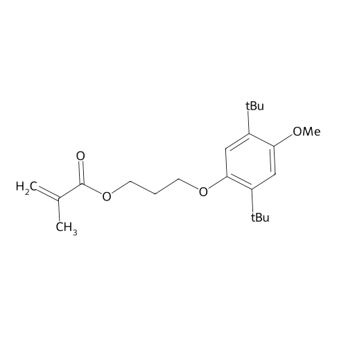 C=C(C)C(=O)OCCCOc1cc(C(C)(C)C)c(OC)cc1C(C)(C)C